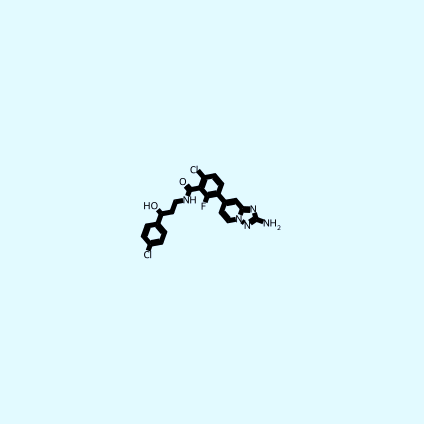 Nc1nc2cc(-c3ccc(Cl)c(C(=O)NCCC(O)c4ccc(Cl)cc4)c3F)ccn2n1